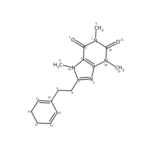 Cn1c(=O)c2c(nc(CCC3=CCCC=C3)n2C)n(C)c1=O